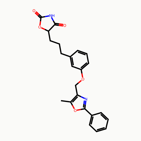 Cc1oc(-c2ccccc2)nc1COc1cccc(CCCC2OC(=O)NC2=O)c1